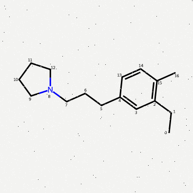 CCc1cc(CCCN2CCCC2)ccc1C